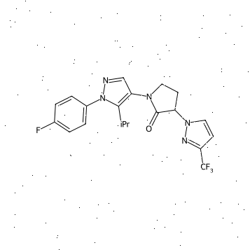 CC(C)c1c(N2CCC(n3ccc(C(F)(F)F)n3)C2=O)cnn1-c1ccc(F)cc1